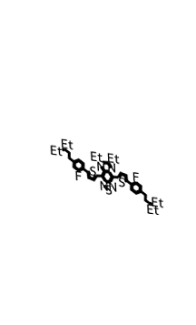 CCc1nc2c(-c3ccc(-c4ccc(CCC(CC)CC)cc4F)s3)c3nsnc3c(-c3ccc(-c4ccc(CCC(CC)CC)cc4F)s3)c2nc1CC